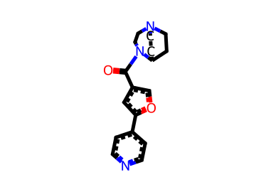 O=C(c1coc(-c2ccncc2)c1)N1CCN2CCC1CC2